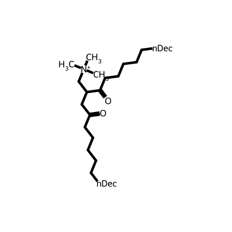 CCCCCCCCCCCCCCCC(=O)CC(C[N+](C)(C)C)C(=O)CCCCCCCCCCCCCCC